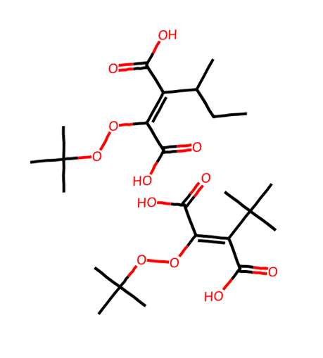 CC(C)(C)OO/C(C(=O)O)=C(\C(=O)O)C(C)(C)C.CCC(C)/C(C(=O)O)=C(/OOC(C)(C)C)C(=O)O